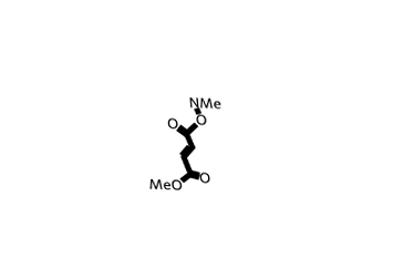 CNOC(=O)/C=C/C(=O)OC